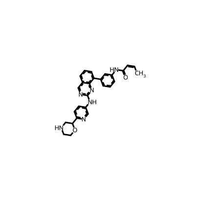 C/C=C\C(=O)Nc1cccc(-c2cccc3cnc(Nc4ccc(C5CNCCO5)nc4)nc23)c1